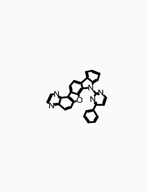 c1ccc(-c2ccnc(-n3c4ccccc4c4ccc5c(oc6ccc7nccnc7c65)c43)n2)cc1